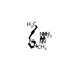 CCC#CC[n+]1ccn(C)c1.N#CN.N#CN